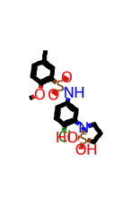 COc1ccc(C)cc1S(=O)(=O)Nc1ccc(Cl)c(N2CCCS2(O)O)c1